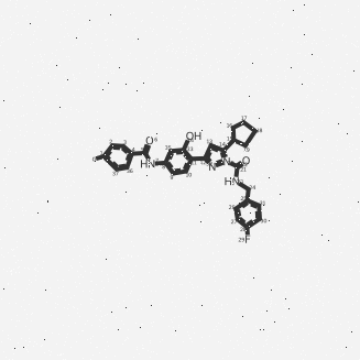 Cc1ccc(C(=O)Nc2ccc(-c3cc(C4CCCC4)n(C(=O)NCc4ccc(F)cc4)n3)c(O)c2)cc1